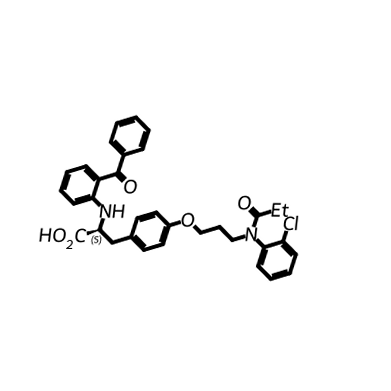 CCC(=O)N(CCCOc1ccc(C[C@H](Nc2ccccc2C(=O)c2ccccc2)C(=O)O)cc1)c1ccccc1Cl